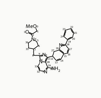 COCC(=O)N1CCC(Cc2nc(C3C=Cc4ccc(-c5ccccc5)nc4C3)c3c(N)nccn23)CC1